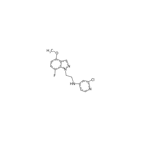 COc1ccc(F)c2c1cnn2CCNc1ccnc(Cl)c1